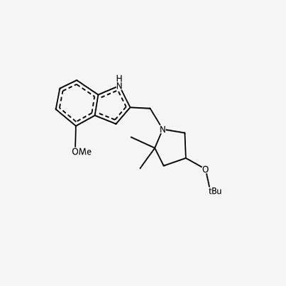 COc1cccc2[nH]c(CN3CC(OC(C)(C)C)CC3(C)C)cc12